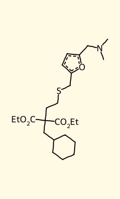 CCOC(=O)C(CCSCc1ccc(CN(C)C)o1)(CC1CCCCC1)C(=O)OCC